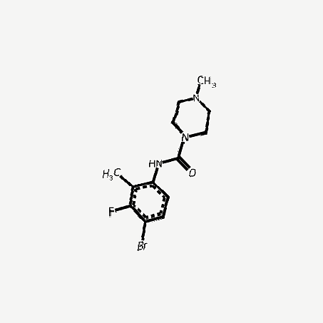 Cc1c(NC(=O)N2CCN(C)CC2)ccc(Br)c1F